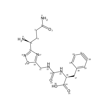 NC(=O)CC[C@H](N)c1noc(CNC(=O)N[C@@H](Cc2cc#ccc2)C(=O)O)n1